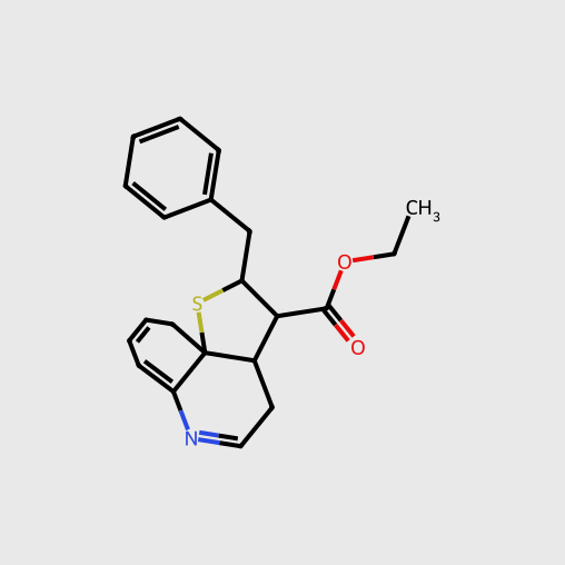 CCOC(=O)C1C(Cc2ccccc2)SC23CC=CC=C2N=CCC13